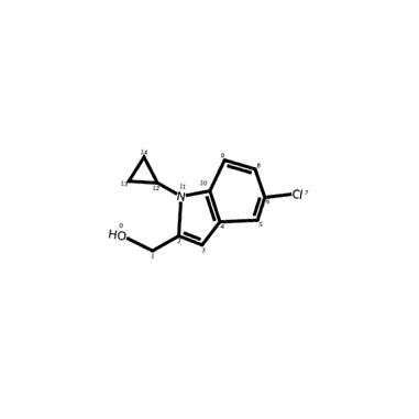 OCc1cc2cc(Cl)ccc2n1C1CC1